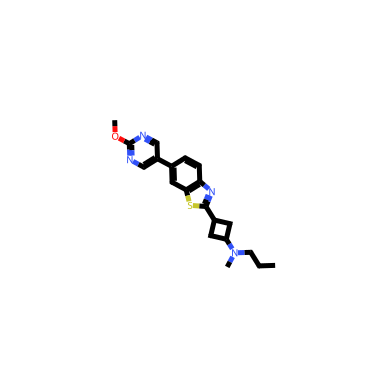 CCCN(C)C1CC(c2nc3ccc(-c4cnc(OC)nc4)cc3s2)C1